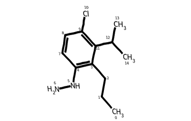 CCCc1c(NN)ccc(Cl)c1C(C)C